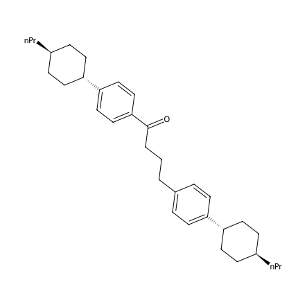 CCC[C@H]1CC[C@H](c2ccc(CCCC(=O)c3ccc([C@H]4CC[C@H](CCC)CC4)cc3)cc2)CC1